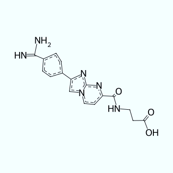 N=C(N)c1ccc(-c2cn3ccc(C(=O)NCCC(=O)O)nc3n2)cc1